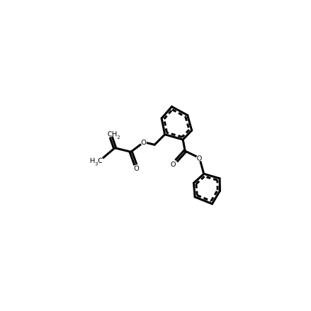 C=C(C)C(=O)OCc1ccccc1C(=O)Oc1ccccc1